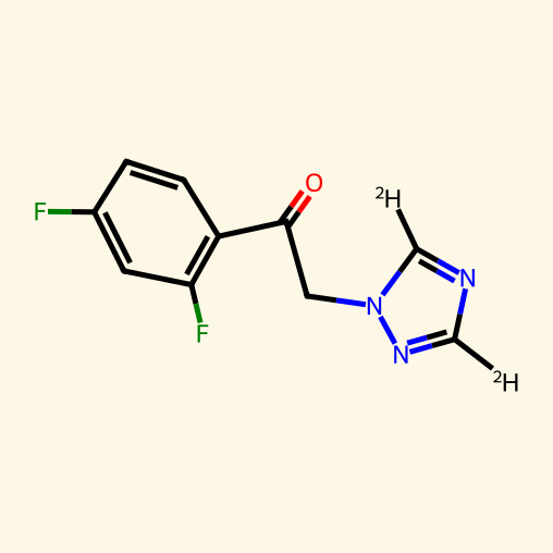 [2H]c1nc([2H])n(CC(=O)c2ccc(F)cc2F)n1